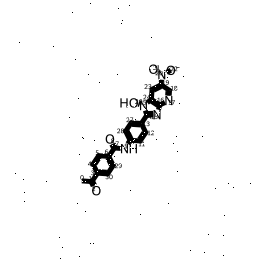 CC(=O)c1ccc(C(=O)Nc2ccc(-c3nc4ncc([N+](=O)[O-])cc4n3O)cc2)cc1